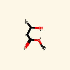 CCC(O)CC(=O)OC(C)C